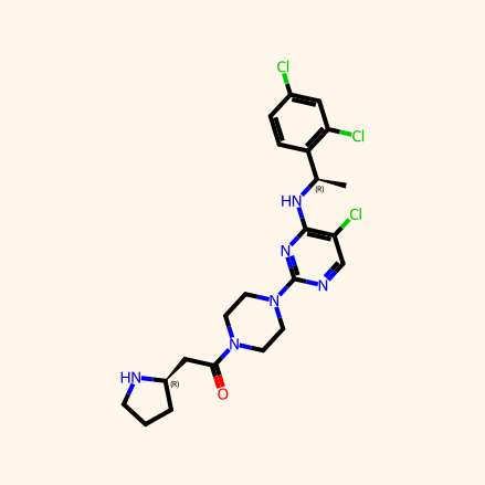 C[C@@H](Nc1nc(N2CCN(C(=O)C[C@H]3CCCN3)CC2)ncc1Cl)c1ccc(Cl)cc1Cl